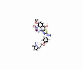 COc1ccc(C(=O)c2sc(Nc3ccc(OCCC4CCCN4)cc3)nc2N)cc1[N+](=O)[O-]